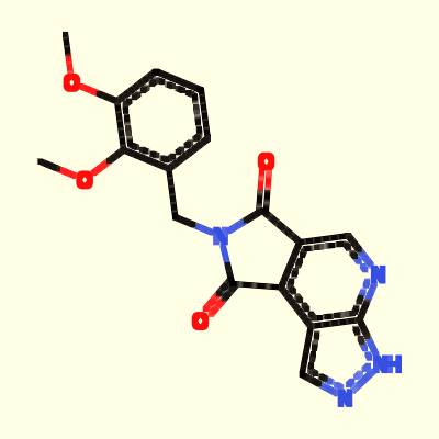 COc1cccc(CN2C(=O)c3cnc4[nH]ncc4c3C2=O)c1OC